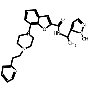 CC(NC(=O)c1cc2cccc(N3CCN(CCc4ccccn4)CC3)c2o1)c1ccnn1C